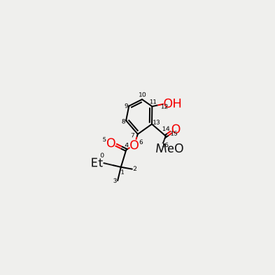 CCC(C)(C)C(=O)Oc1cccc(O)c1C(=O)OC